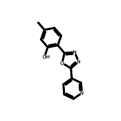 Cc1ccc(-c2nnc(-c3cccnc3)o2)c(O)c1